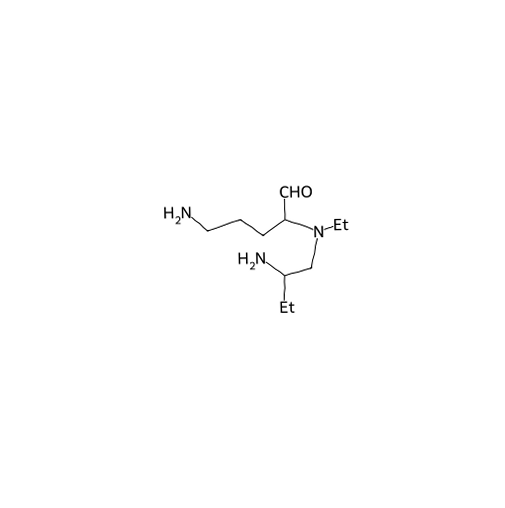 CCC(N)CN(CC)C(C=O)CCCN